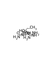 CCCC(O)O.NNC(N)=O.NNC(N)=O